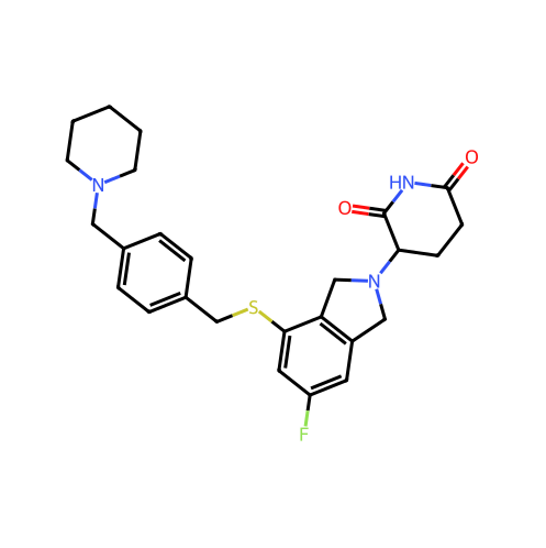 O=C1CCC(N2Cc3cc(F)cc(SCc4ccc(CN5CCCCC5)cc4)c3C2)C(=O)N1